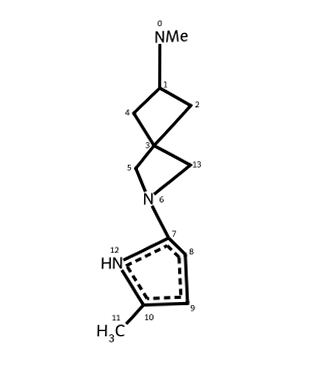 CNC1CC2(C1)CN(c1ccc(C)[nH]1)C2